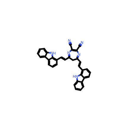 N#CC1=C(C#N)N=C(C=Cc2cccc3c2[nH]c2ccccc23)CC(C=Cc2cccc3c2[nH]c2ccccc23)=N1